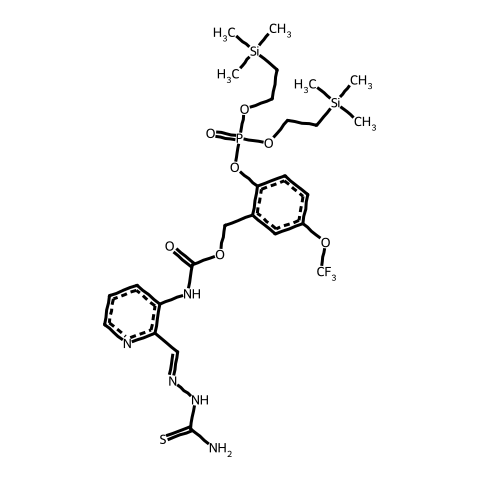 C[Si](C)(C)CCOP(=O)(OCC[Si](C)(C)C)Oc1ccc(OC(F)(F)F)cc1COC(=O)Nc1cccnc1C=NNC(N)=S